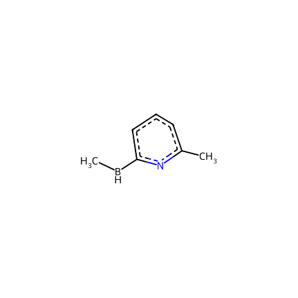 CBc1cccc(C)n1